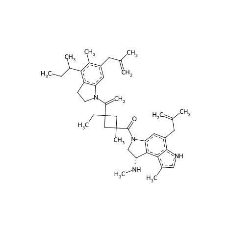 C=C(C)Cc1cc2c(c(C(C)CC)c1C)CCN2C(=C)C1(CC)CC(C)(C(=O)N2C[C@@H](NC)c3c2cc(CC(=C)C)c2[nH]cc(C)c32)C1